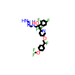 N=N/N=C\NCC(O)(c1ccc(F)cc1F)C(F)(F)c1ccc(OCC(F)c2ccc(OC(F)F)cc2)cn1